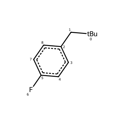 [CH2]C(C)(C)Cc1ccc(F)cc1